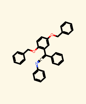 C(=Nc1ccccc1)=C(c1ccccc1)c1cc(OCc2ccccc2)ccc1OCc1ccccc1